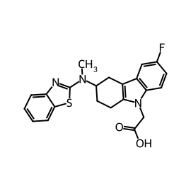 CN(c1nc2ccccc2s1)C1CCc2c(c3cc(F)ccc3n2CC(=O)O)C1